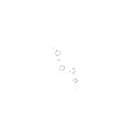 Cc1cc(Nc2cc(NC=O)n[nH]2)nc(Nc2ccc(NC(=O)Nc3ccc(Cl)c(C(F)(F)F)c3)cc2C)n1